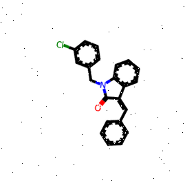 O=C1C(=Cc2ccccc2)c2ccccc2N1Cc1cccc(Cl)c1